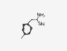 Cc1ccc(CC(N)S)cc1